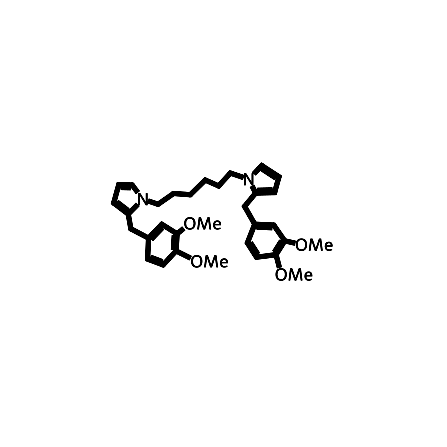 COc1ccc(Cc2cccn2CCCCCCn2cccc2Cc2ccc(OC)c(OC)c2)cc1OC